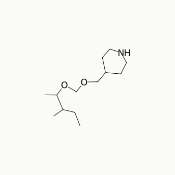 CCC(C)C(C)OCOCC1CCNCC1